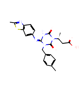 Cc1ccc(Cn2c(=O)n([C@@H](C)CC(=O)O)c(=O)[nH]/c2=N\c2ccc3nc(C)sc3c2)cc1